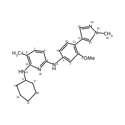 COc1cc(Nc2ccc(C)c(NC3CCCCC3)n2)ccc1-c1cnn(C)c1